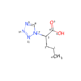 CCCC(C(=O)O)n1cnnn1